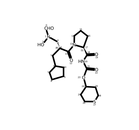 O=CN(O)C[C@@H](CC1CCCC1)C(=O)N1CCC[C@H]1C(=O)NC(=O)OC1CCSCC1